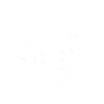 O=C(NCC(F)(F)F)N(c1cnc(-c2cnn(C3CCOCC3)c2)cn1)C1CCC(Nc2ncc(C(F)(F)F)c(-c3n[nH]cc3Cl)n2)CC1